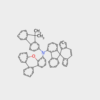 CC1(C)c2ccccc2-c2ccc(N(c3cccc4c3Oc3ccccc3-c3ccccc3-4)c3cccc4c3-c3ccccc3C43c4ccccc4C=Cc4ccccc43)cc21